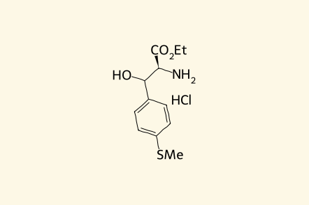 CCOC(=O)[C@@H](N)C(O)c1ccc(SC)cc1.Cl